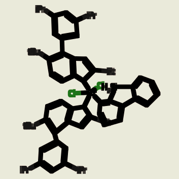 CCC1=Cc2c(ccc(C(C)(C)C)c2-c2cc(C(C)C)cc(C(C)C)c2)[CH]1[Zr]([Cl])([Cl])([c]1cccc2c1[SiH2]c1ccccc1-2)[CH]1C(CC)=Cc2c1ccc(C(C)(C)C)c2-c1cc(C(C)C)cc(C(C)C)c1